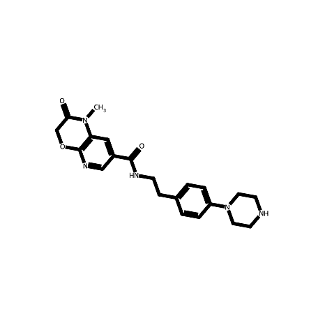 CN1C(=O)COc2ncc(C(=O)NCCc3ccc(N4CCNCC4)cc3)cc21